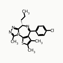 CCC[C@@H]1N=C(c2ccc(Cl)cc2)c2c(sc(C)c2C)-n2c(C)nnc21